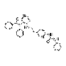 O=C(Nc1ccccc1)Nc1ccc(CCNc2ncnc3oc(-c4ccccc4)c(-c4ccccc4)c23)cn1